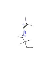 CCC(C)(C)/C(C)=N/C=C(\C)I